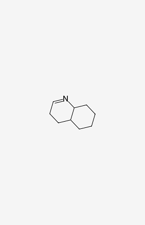 C1=NC2CCCCC2CC1